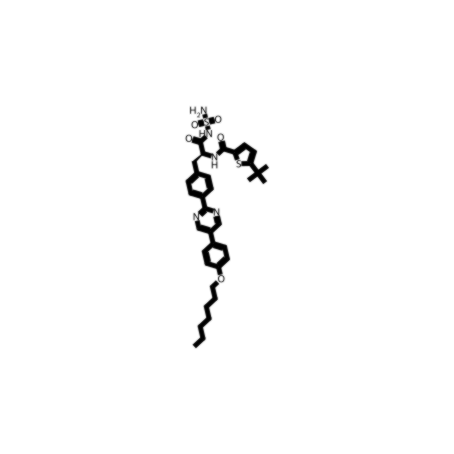 CCCCCCCOc1ccc(-c2cnc(-c3ccc(C[C@H](NC(=O)c4ccc(C(C)(C)C)s4)C(=O)NS(N)(=O)=O)cc3)nc2)cc1